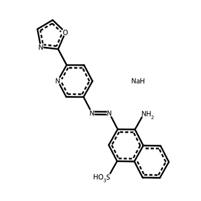 Nc1c(N=Nc2ccc(-c3ncco3)nc2)cc(S(=O)(=O)O)c2ccccc12.[NaH]